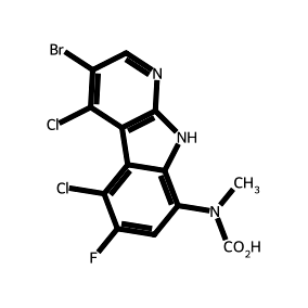 CN(C(=O)O)c1cc(F)c(Cl)c2c1[nH]c1ncc(Br)c(Cl)c12